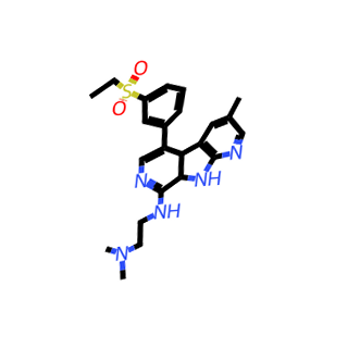 CCS(=O)(=O)c1cccc(C2=CN=C(NCCN(C)C)C3Nc4ncc(C)cc4C23)c1